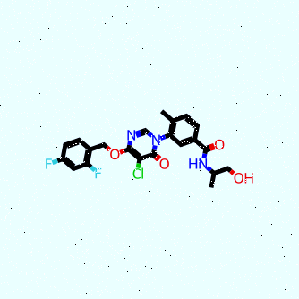 Cc1ccc(C(=O)NC(C)CO)cc1-n1cnc(OCc2ccc(F)cc2F)c(Cl)c1=O